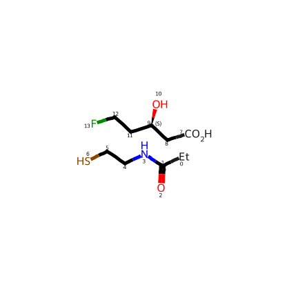 CCC(=O)NCCS.O=C(O)C[C@H](O)CCF